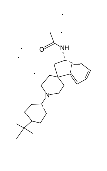 CC(=O)N[C@H]1CC2(CCN(C3CCC(C(C)(C)C)CC3)CC2)c2ccccc21